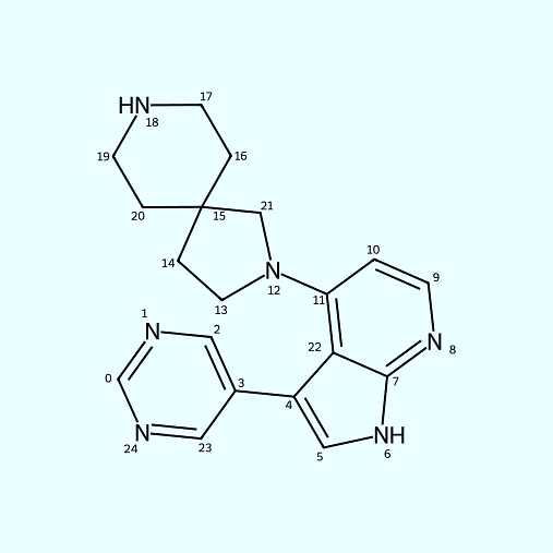 c1ncc(-c2c[nH]c3nccc(N4CCC5(CCNCC5)C4)c23)cn1